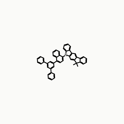 CC1(C)c2ccccc2-c2cc3c4ccccc4n(-c4ccc(-c5cc(-c6ccccc6)cc(-c6ccccc6)c5)c5ccccc45)c3cc21